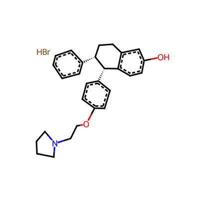 Br.Oc1ccc2c(c1)CC[C@@H](c1ccccc1)[C@H]2c1ccc(OCCN2CCCC2)cc1